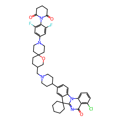 O=C1CCCC(=O)N1c1c(F)cc(N2CCC3(CCC(CN4CCC(c5ccc6c(c5)C5(CCCCC5)c5nc(=O)c7c(Cl)cccc7n5-6)CC4)CO3)CC2)cc1F